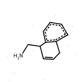 NCC1C=C[CH]c2ccccc21